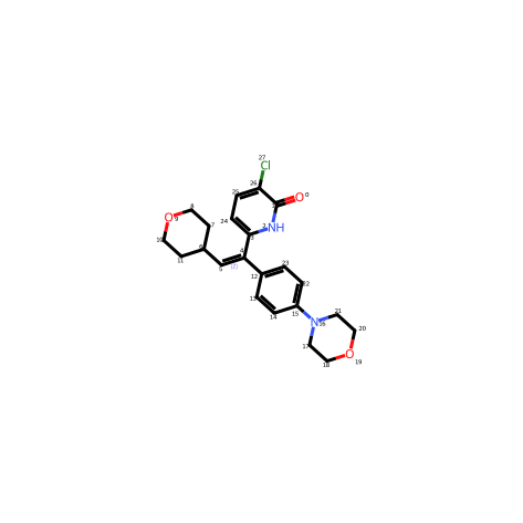 O=c1[nH]c(/C(=C\C2CCOCC2)c2ccc(N3CCOCC3)cc2)ccc1Cl